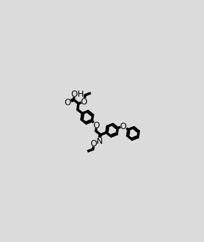 CCO/N=C(\COc1ccc(CC(OCC)C(=O)O)cc1)c1ccc(Oc2ccccc2)cc1